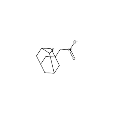 O=[N+]([O-])CC12CC3CC(C1)C(F)C(C3)C2